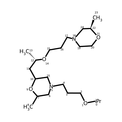 CC(C)OCCCN1CC(C)OC(C[C@H](C)OCCCN2CCO[C@H](C)C2)C1